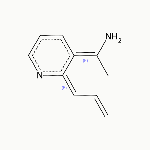 C=C/C=c1/nccc/c1=C(/C)N